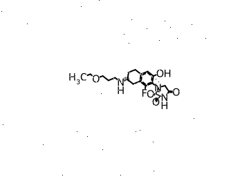 CCOCCCN[C@@H]1CCc2cc(O)c(N3CC(=O)NS3(=O)=O)c(F)c2C1